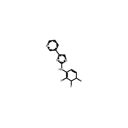 FC1=C(Nc2nc(-c3cccnc3)cs2)C=CC(F)C1F